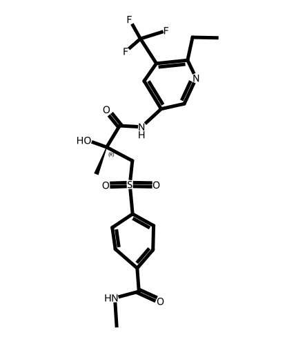 CCc1ncc(NC(=O)[C@@](C)(O)CS(=O)(=O)c2ccc(C(=O)NC)cc2)cc1C(F)(F)F